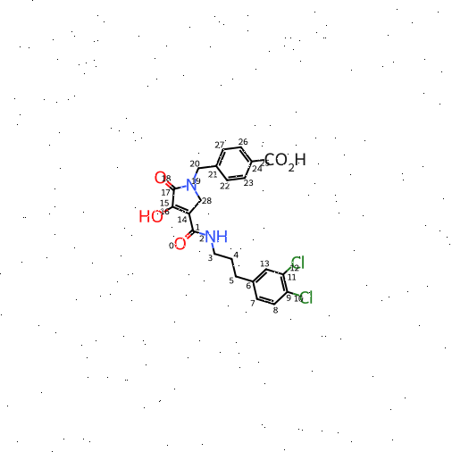 O=C(NCCCc1ccc(Cl)c(Cl)c1)C1=C(O)C(=O)N(Cc2ccc(C(=O)O)cc2)C1